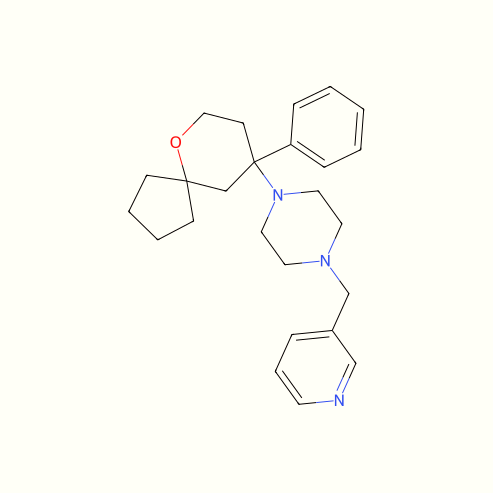 c1ccc(C2(N3CCN(Cc4cccnc4)CC3)CCOC3(CCCC3)C2)cc1